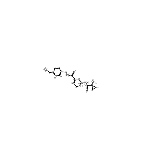 CCc1ccc(CNC(=O)C2=CCNC(NC(=O)C3(C)CC3)=C2)cn1